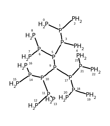 PP(P)P(P)P(P(P)P)P(P(P(P)P)P(P)P)P(P(P)P)P(P)P